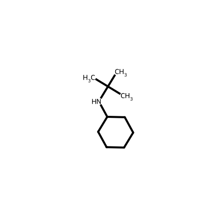 CC(C)(C)NC1CCCCC1